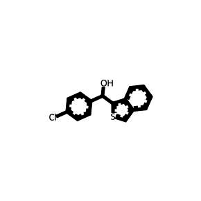 OC(c1ccc(Cl)cc1)c1scc2ccccc12